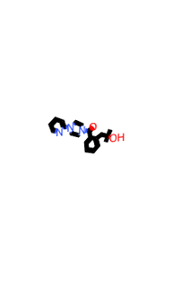 CC(C)(O)Cc1ccccc1C(=O)N1CCN(c2ccccn2)CC1